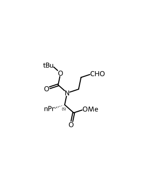 CCC[C@@H](C(=O)OC)N(CCC=O)C(=O)OC(C)(C)C